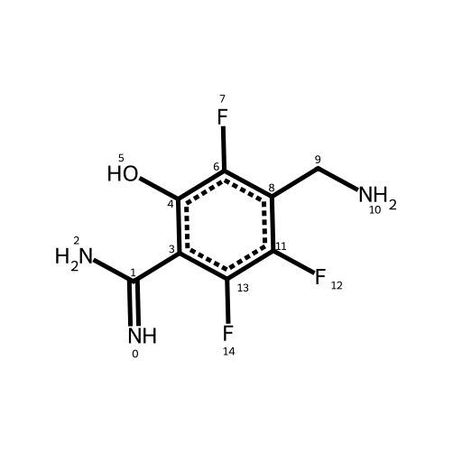 N=C(N)c1c(O)c(F)c(CN)c(F)c1F